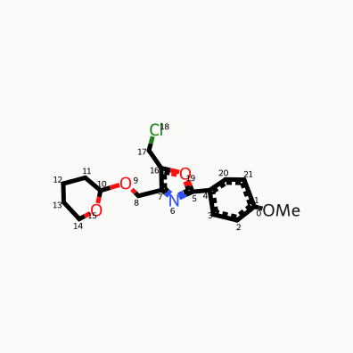 COc1ccc(-c2nc(COC3CCCCO3)c(CCl)o2)cc1